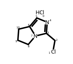 Cl.ClCc1ncc2n1CCC2